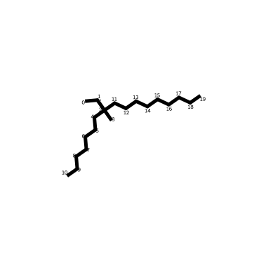 C[CH]C(C)(CCCCCCC)CCCCCCCCC